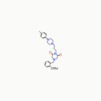 COc1ccccc1CN1CC(=O)N(CCCN2CCN(c3ccc(C)cc3)CC2)C(=O)C1